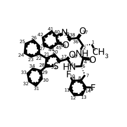 CC[C@H](NC(=O)[C@H](Cc1c(F)cccc1F)NC(=O)c1cc(-c2ccccc2)c(-c2ccccc2)s1)C(=O)c1nc2ccccc2o1